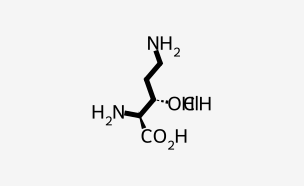 Cl.NCC[C@H](O)[C@H](N)C(=O)O